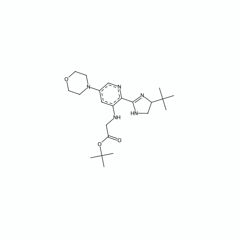 CC(C)(C)OC(=O)CNc1cc(N2CCOCC2)cnc1C1=NC(C(C)(C)C)CN1